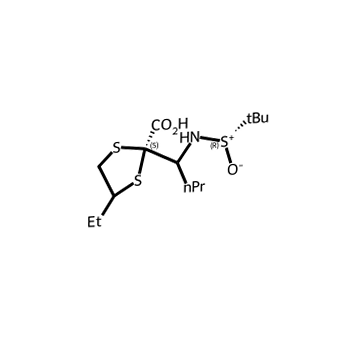 CCCC(N[S@@+]([O-])C(C)(C)C)[C@]1(C(=O)O)SCC(CC)S1